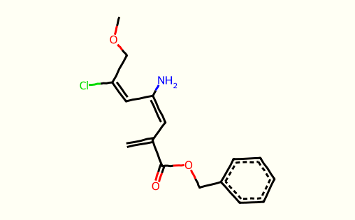 C=C(/C=C(N)\C=C(\Cl)COC)C(=O)OCc1ccccc1